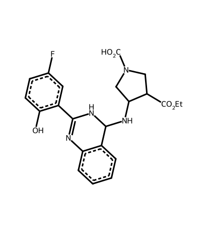 CCOC(=O)C1CN(C(=O)O)CC1NC1NC(c2cc(F)ccc2O)=Nc2ccccc21